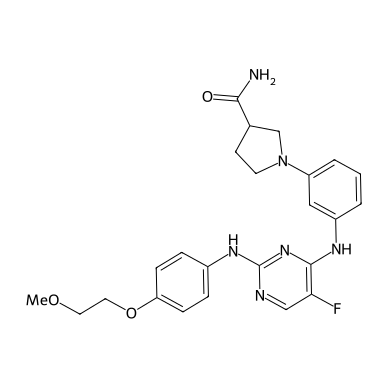 COCCOc1ccc(Nc2ncc(F)c(Nc3cccc(N4CCC(C(N)=O)C4)c3)n2)cc1